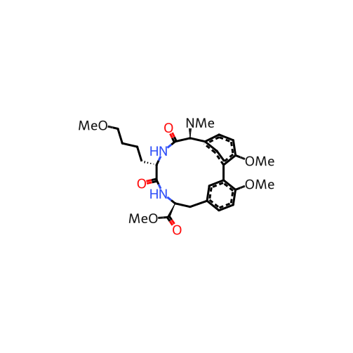 CN[C@@H]1C(=O)N[C@@H](CCCCOC)C(=O)N[C@H](C(=O)OC)Cc2ccc(OC)c(c2)-c2cc1ccc2OC